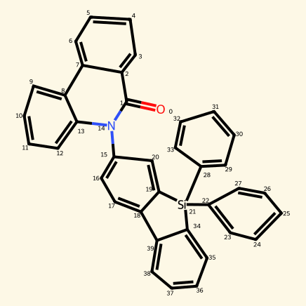 O=c1c2ccccc2c2ccccc2n1-c1ccc2c(c1)[Si](c1ccccc1)(c1ccccc1)c1ccccc1-2